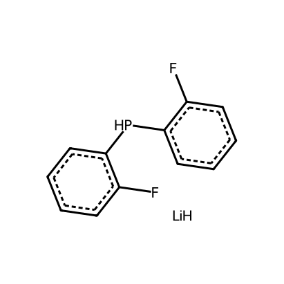 Fc1ccccc1Pc1ccccc1F.[LiH]